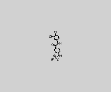 CC(C)S(=O)(=O)NC1CCN(C(=O)Nc2ccc(Cl)c(Cl)c2)CC1